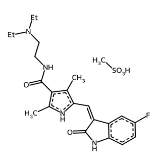 CCN(CC)CCNC(=O)c1c(C)[nH]c(C=C2C(=O)Nc3ccc(F)cc32)c1C.CS(=O)(=O)O